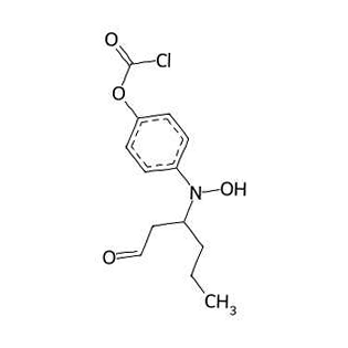 CCCC(CC=O)N(O)c1ccc(OC(=O)Cl)cc1